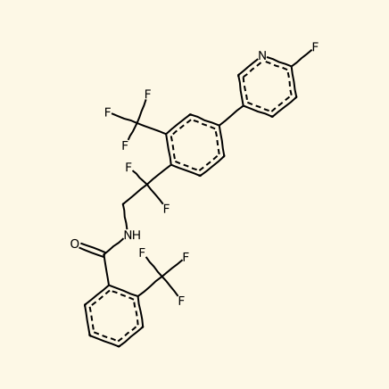 O=C(NCC(F)(F)c1ccc(-c2ccc(F)nc2)cc1C(F)(F)F)c1ccccc1C(F)(F)F